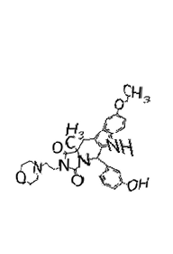 CCOc1ccc2[nH]c3c(c2c1)CC1(C)C(=O)N(CCN2CCOCC2)C(=O)N1C3c1cccc(O)c1